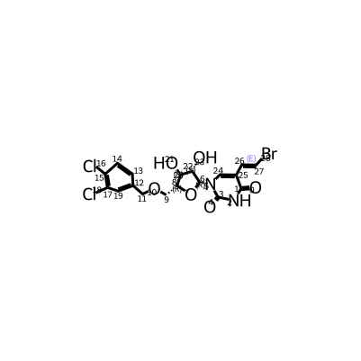 O=c1[nH]c(=O)n([C@@H]2O[C@H](COCc3ccc(Cl)c(Cl)c3)[C@@H](O)[C@@H]2O)cc1/C=C/Br